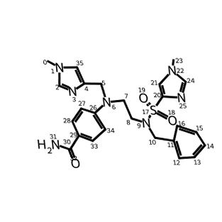 Cn1cnc(CN(CCN(Cc2ccccc2)S(=O)(=O)c2cn(C)cn2)c2ccc(C(N)=O)cc2)c1